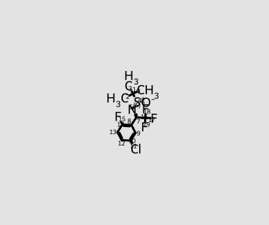 CC(C)(C)[S@@+]([O-])N=C(c1cc(Cl)ccc1F)C(F)(F)F